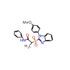 COc1ccc(-n2c(S(=O)(=O)C(C)C(=O)Nc3ccccc3)nc3ccccc32)cc1